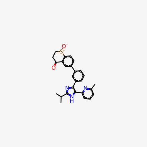 Cc1cccc(-c2[nH]c(C(C)C)nc2-c2cccc(-c3ccc4c(c3)C(=O)CC[S+]4[O-])c2)n1